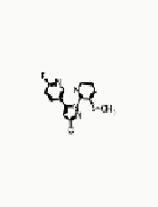 CSc1cccnc1-n1nc([O])cc1-c1ccc(F)nc1